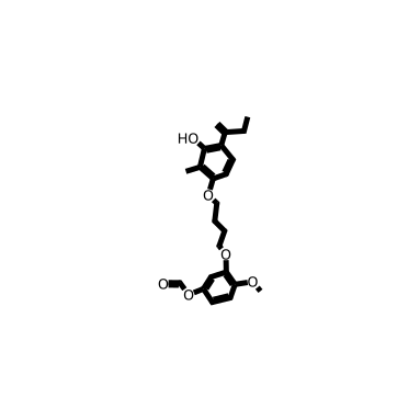 C=C(CC)c1ccc(OCCCCOc2cc(OC=O)ccc2OC)c(C)c1O